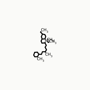 CCC1CCC2C(CCC(CCCC(C)CCC3CCCCC3C)[N+]2(C)CC)C1